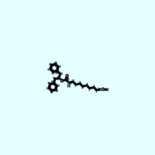 CCCCCCCCCCCCCCCCCCNC(=O)ON(Cc1ccccc1)Cc1ccccc1